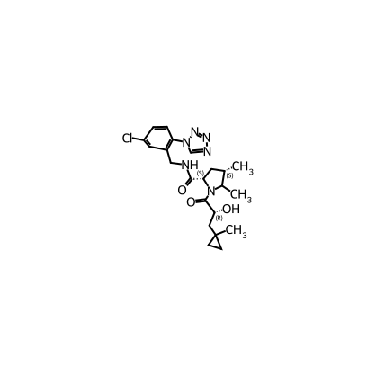 CC1[C@@H](C)C[C@@H](C(=O)NCc2cc(Cl)ccc2-n2cnnn2)N1C(=O)[C@H](O)CC1(C)CC1